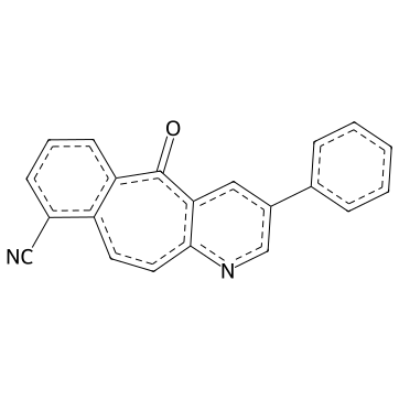 N#Cc1cccc2c(=O)c3cc(-c4ccccc4)cnc3ccc12